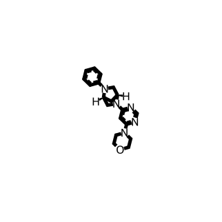 c1ccc(N2C[C@H]3C[C@@H]2CN3c2cc(N3CCOCC3)ncn2)cc1